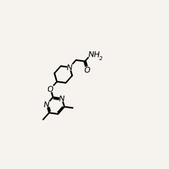 Cc1cc(C)nc(OC2CCN(CC(N)=O)CC2)n1